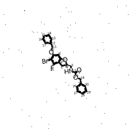 O=C(NC[C@H]1Cc2c(cc(OCc3ccccc3)c(Br)c2F)O1)OCc1ccccc1